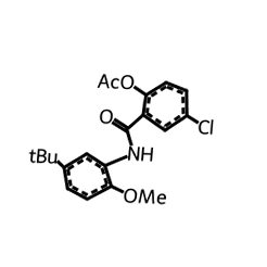 COc1ccc(C(C)(C)C)cc1NC(=O)c1cc(Cl)ccc1OC(C)=O